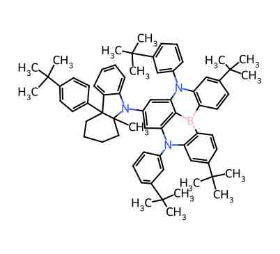 CC(C)(C)c1ccc(C23CCCCC2(C)N(c2cc4c5c(c2)N(c2cccc(C(C)(C)C)c2)c2cc(C(C)(C)C)ccc2B5c2ccc(C(C)(C)C)cc2N4c2cccc(C(C)(C)C)c2)c2ccccc23)cc1